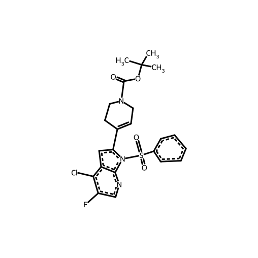 CC(C)(C)OC(=O)N1CC=C(c2cc3c(Cl)c(F)cnc3n2S(=O)(=O)c2ccccc2)CC1